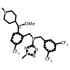 CO[C@@H](c1ccc(C(F)(F)F)cc1CN(Cc1cc(C(F)(F)F)cc(C(F)(F)F)c1)c1nnn(C)n1)C1CCN(C)CC1